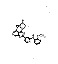 COc1ncccc1Nc1cc(-c2nc(N3CCNCC3)c3c(C4CC4)cncc3n2)ccn1